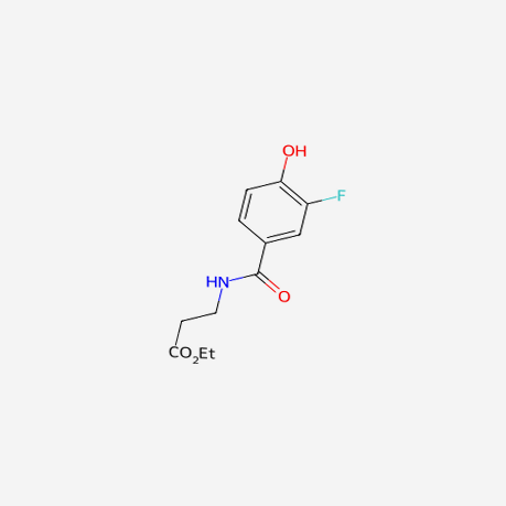 CCOC(=O)CCNC(=O)c1ccc(O)c(F)c1